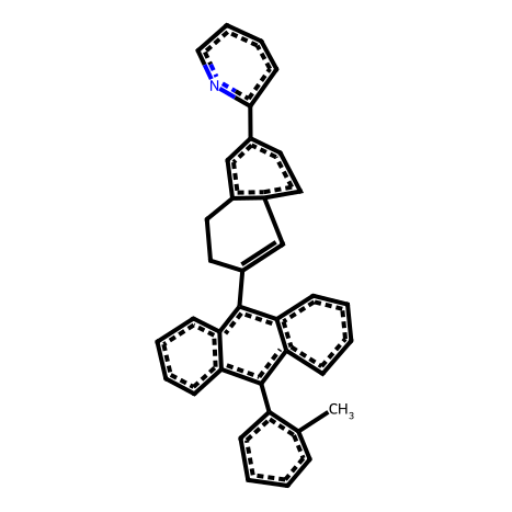 Cc1ccccc1-c1c2ccccc2c(C2=Cc3ccc(-c4ccccn4)cc3CC2)c2ccccc12